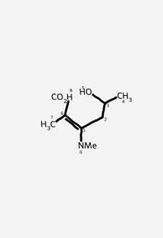 CNC(CC(C)O)=C(C)C(=O)O